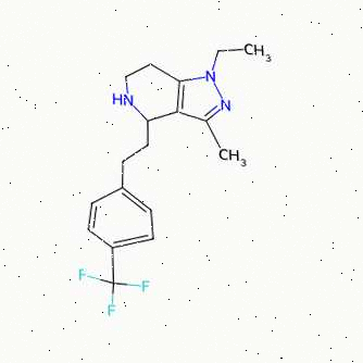 CCn1nc(C)c2c1CCNC2CCc1ccc(C(F)(F)F)cc1